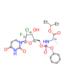 CCC(CC)OC(=O)[C@H](C)N[P@](=O)(OC[C@H]1O[C@@H](n2ccc(=O)[nH]c2=O)[C@@](F)(Cl)[C@@H]1O)Oc1ccccc1